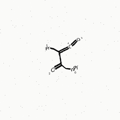 CCCC(=O)C(=C=O)C(C)C